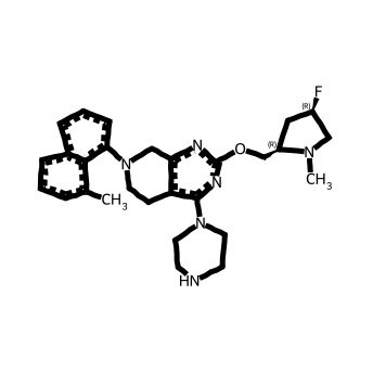 Cc1cccc2cccc(N3CCc4c(nc(OC[C@H]5C[C@@H](F)CN5C)nc4N4CCNCC4)C3)c12